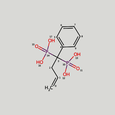 C=CCC(c1ccccc1)(P(=O)(O)O)P(=O)(O)O